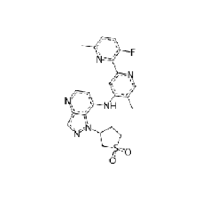 Cc1ccc(F)c(-c2cc(Nc3ccnc4cnn(C5CCS(=O)(=O)C5)c34)c(C)cn2)n1